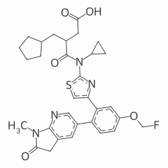 CN1C(=O)Cc2cc(-c3ccc(OCF)cc3-c3csc(N(C(=O)C(CC(=O)O)CC4CCCC4)C4CC4)n3)cnc21